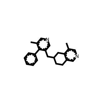 Cc1cncc2c1CC(Cc1cncc(C)c1-c1ccccc1)CC2